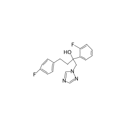 OC(CCc1ccc(F)cc1)(Cn1cncn1)c1ccccc1F